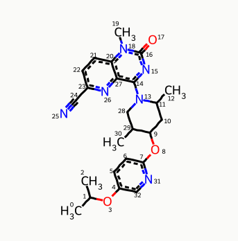 CC(C)Oc1ccc(OC2CC(C)N(c3nc(=O)n(C)c4ccc(C#N)nc34)CC2C)nc1